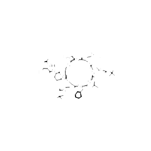 CC(=O)N[C@H](C(=O)N[C@H]1CCCN([C@H]2CCNC(=O)[C@H]([C@@H](C)O)NC(=O)[C@H](CCN)NC(=O)[C@H](CCNC(=O)OC(C)(C)C)NC(=O)[C@H](CC(C)C)NC(=O)[C@@H](Cc3ccccc3)NC(=O)[C@H](CCNC(=O)OC(C)(C)C)NC2=O)C1=O)[C@@H](C)O